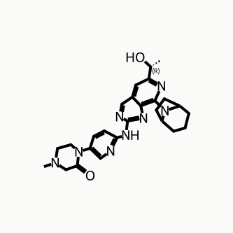 C[C@@H](O)c1cc2cnc(Nc3ccc(N4CCN(C)CC4=O)cn3)nc2c(N2C3CCCC2CC3)n1